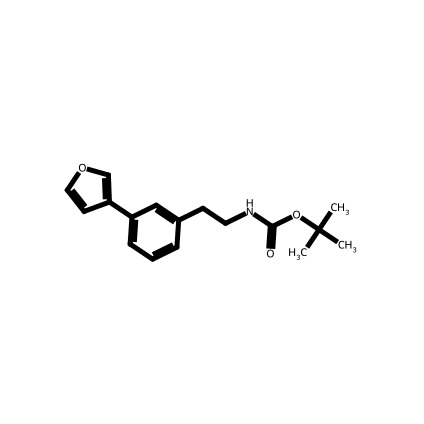 CC(C)(C)OC(=O)NCCc1cccc(-c2ccoc2)c1